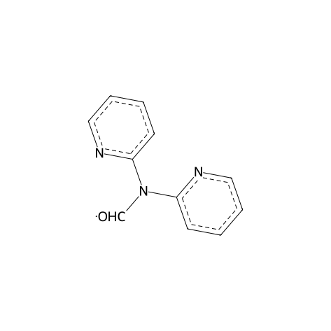 O=[C]N(c1ccccn1)c1ccccn1